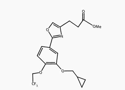 COC(=O)CCc1coc(-c2ccc(OCC(F)(F)F)c(OCC3CC3)c2)n1